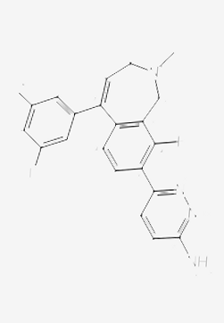 CN1CC=C(c2cc(F)cc(F)c2)c2ccc(-c3ccc(N)nn3)c(F)c2C1